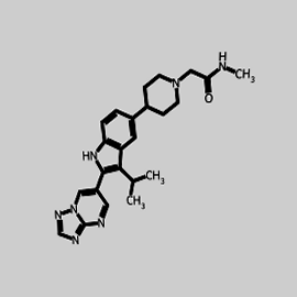 CNC(=O)CN1CCC(c2ccc3[nH]c(-c4cnc5ncnn5c4)c(C(C)C)c3c2)CC1